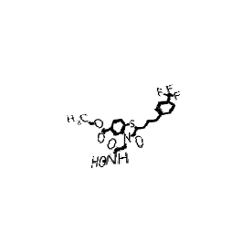 CCOC(=O)c1ccc2c(c1)N(CC(=O)NO)C(=O)C(CCCc1ccc(C(F)(F)F)cc1)S2